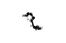 CN(Cc1cccc(SCc2cn(-c3cccc(C(=O)NO)c3)nn2)c1)C(=O)CCCCCNc1ccc2c(c1)C(=O)N(C1CCC(=O)NC1=O)C2=O